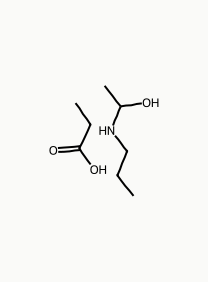 CCC(=O)O.CCCNC(C)O